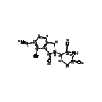 N#Cc1ccc2c(c1Br)C(=O)N(C1CCC(=O)NC1=O)C2